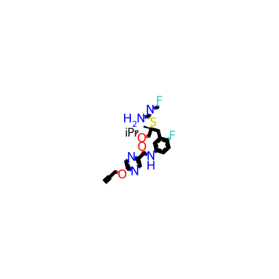 C#CCOc1cnc(C(=O)Nc2ccc(F)c(C[C@](C)(COC(C)C)S/C(N)=N\CF)c2)cn1